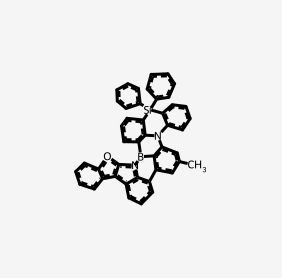 Cc1cc2c3c(c1)N1c4ccccc4[Si](c4ccccc4)(c4ccccc4)c4cccc(c41)B3n1c3oc4ccccc4c3c3cccc-2c31